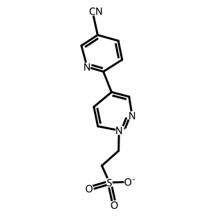 N#Cc1ccc(-c2cc[n+](CCS(=O)(=O)[O-])nc2)nc1